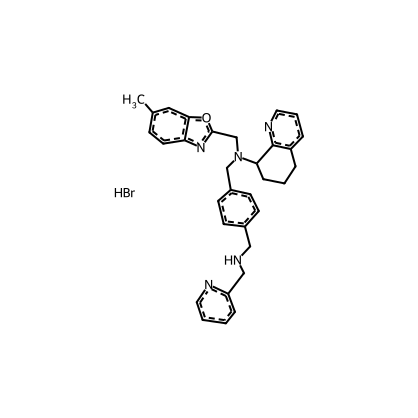 Br.Cc1ccc2nc(CN(Cc3ccc(CNCc4ccccn4)cc3)C3CCCc4cccnc43)oc2c1